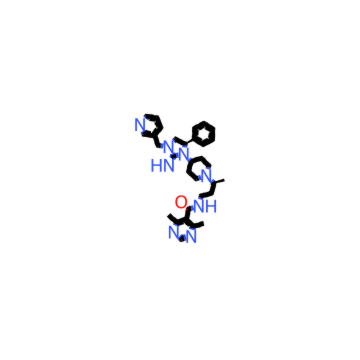 Cc1ncnc(C)c1C(=O)NCC[C@H](C)N1CCC(N2C(=N)N(Cc3cccnc3)C[C@H]2c2ccccc2)CC1